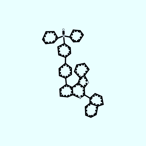 O=P(c1ccccc1)(c1ccccc1)c1ccc(-c2ccc(-c3cccc4nc(-c5cccc6ccccc56)c5sc6ccccc6c5c34)cc2)cc1